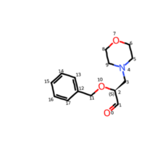 O=C[C@H](CN1CCOCC1)OCc1ccccc1